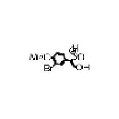 COc1ccc(C(CO)[SH](=O)=O)cc1Br